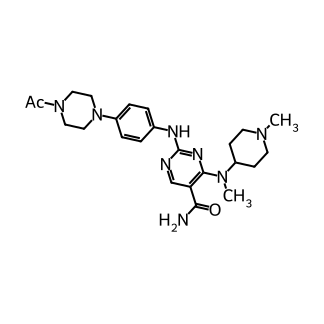 CC(=O)N1CCN(c2ccc(Nc3ncc(C(N)=O)c(N(C)C4CCN(C)CC4)n3)cc2)CC1